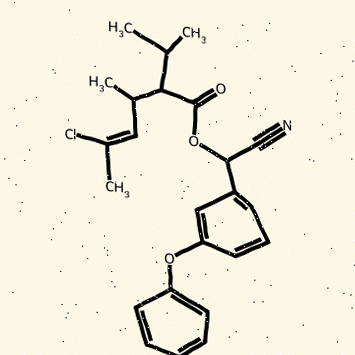 CC(Cl)=CC(C)C(C(=O)OC(C#N)c1cccc(Oc2ccccc2)c1)C(C)C